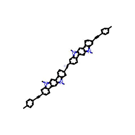 Cc1ccc(C#Cc2ccc3c4cc5c(cc4n(C)c3c2)c2ccc(/C=C/c3ccc4c6cc7c(cc6n(C)c4c3)c3ccc(C#Cc4ccc(C)cc4)cc3n7C)cc2n5C)cc1